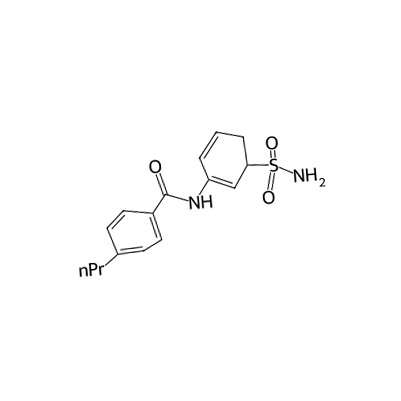 CCCc1ccc(C(=O)NC2=CC(S(N)(=O)=O)CC=C2)cc1